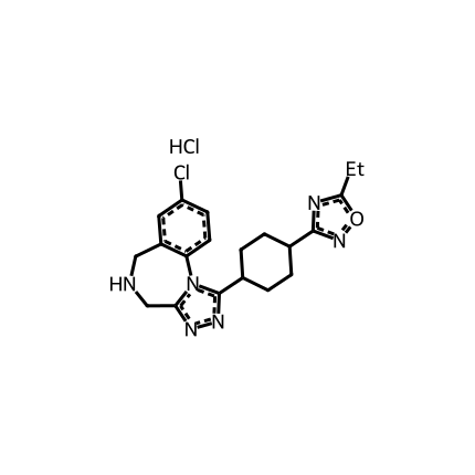 CCc1nc(C2CCC(c3nnc4n3-c3ccc(Cl)cc3CNC4)CC2)no1.Cl